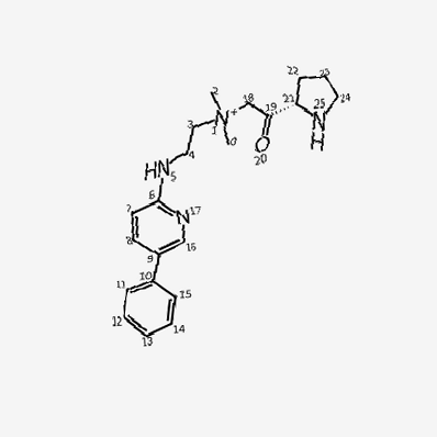 C[N+](C)(CCNc1ccc(-c2ccccc2)cn1)CC(=O)[C@@H]1CCCN1